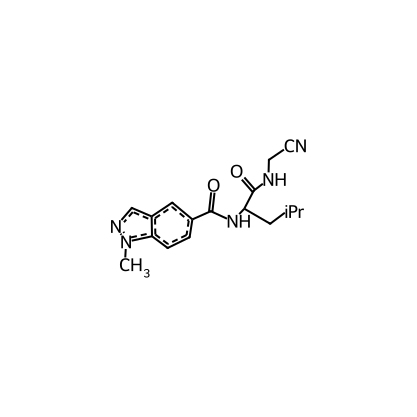 CC(C)CC(NC(=O)c1ccc2c(cnn2C)c1)C(=O)NCC#N